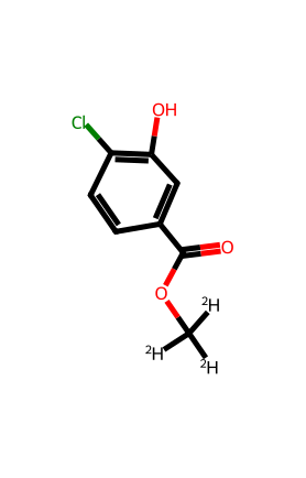 [2H]C([2H])([2H])OC(=O)c1ccc(Cl)c(O)c1